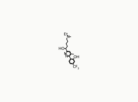 CCN(C)CCCCC(O)c1cc(C)c(-c2ccc(C(F)(F)F)cc2O)nn1